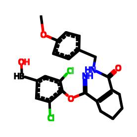 COc1ccc(CNC(=O)C2=C(C(=N)Oc3c(Cl)cc(BO)cc3Cl)CCCC2)cc1